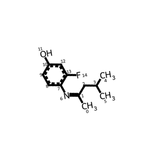 C/C(CC(C)C)=N/c1ccc(O)cc1F